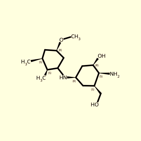 CO[C@H]1CC(N[C@@H]2C[C@H](CO)[C@H](N)[C@H](O)C2)[C@@H](C)[C@@H](C)C1